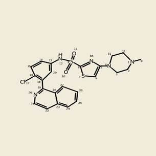 CN1CCN(c2csc(S(=O)(=O)Nc3ccc(Cl)c(-c4nccc5ccccc45)c3)n2)CC1